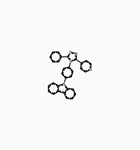 c1ccc(-c2nnc(-c3ccncc3)n2-c2ccc(-n3c4ccccc4c4ccccc43)cc2)cc1